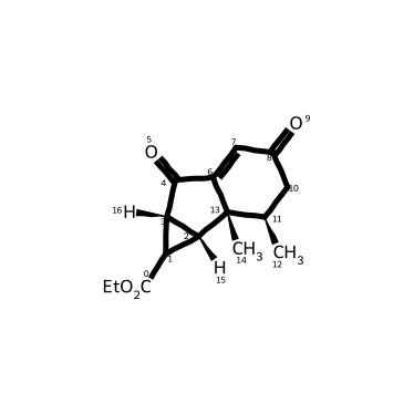 CCOC(=O)C1[C@@H]2[C@H]1C(=O)C1=CC(=O)C[C@@H](C)[C@@]12C